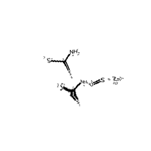 NC(=S)[S-].NC(=S)[S-].O=S.[Zn+2]